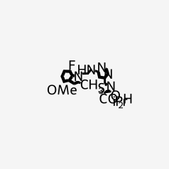 COc1c(C)n(CCNc2cc(-c3nc(OC(C)C)c(C(=O)O)s3)ncn2)c2c(F)cccc12